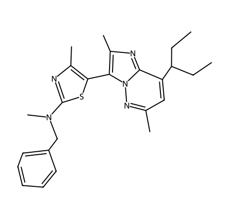 CCC(CC)c1cc(C)nn2c(-c3sc(N(C)Cc4ccccc4)nc3C)c(C)nc12